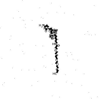 C#CCOCCOCCOCCOCCOCCC(=O)NCCCCCCOP(=O)(O)O[C@@H]1C[C@H](n2ccc(N)nc2=O)OC1COP(=O)(O)O